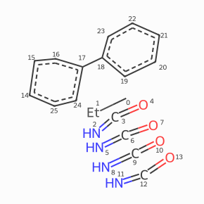 CCC.N=C=O.N=C=O.N=C=O.N=C=O.c1ccc(-c2ccccc2)cc1